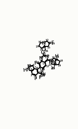 Cc1cc2[nH]ncc2c(-c2c(F)cc3c(N4C[C@H]5CC[C@@H](C4)N5)nc(OC[C@@]45CCCN4C[C@H](F)C5)nc3c2F)c1C(F)(F)F